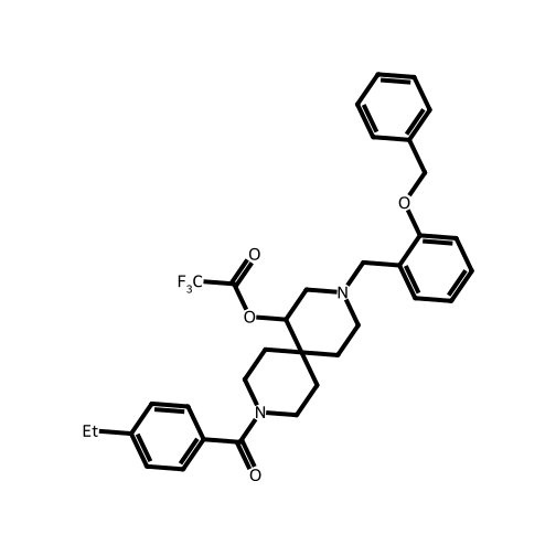 CCc1ccc(C(=O)N2CCC3(CCN(Cc4ccccc4OCc4ccccc4)CC3OC(=O)C(F)(F)F)CC2)cc1